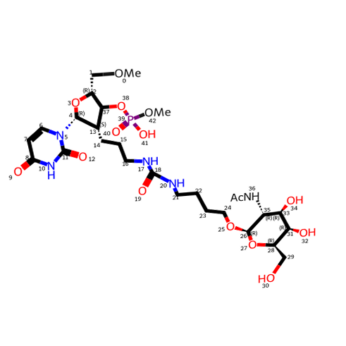 COC[C@H]1O[C@@H](n2ccc(=O)[nH]c2=O)[C@@H](CCCNC(=O)NCCCCO[C@@H]2O[C@H](CO)[C@H](O)[C@H](O)[C@H]2NC(C)=O)C1OP(=O)(O)OC